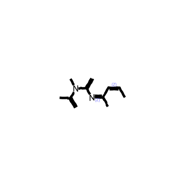 C=C(C)N(C)C(=C)/N=C(C)\C=C/C